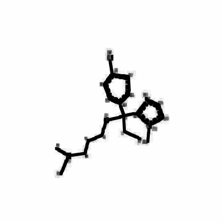 CCC(OCCCN(C)C)(c1ccc(Cl)cc1)c1nccn1C